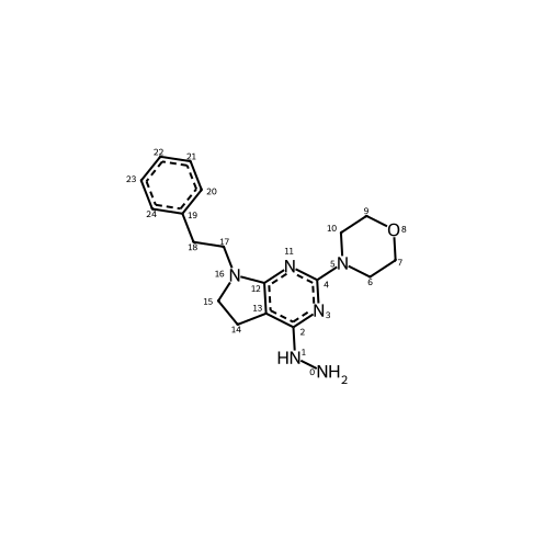 NNc1nc(N2CCOCC2)nc2c1CCN2CCc1ccccc1